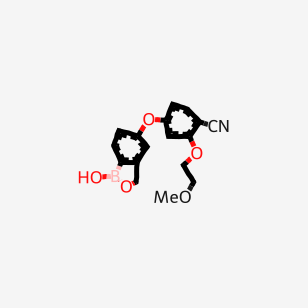 COCCOc1cc(Oc2ccc3c(c2)COB3O)ccc1C#N